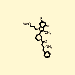 COCCCn1c(C2CCCN(C(=O)C[C@H](N)Cc3ccccc3)C2)c(C)c2c(F)cc(F)cc21